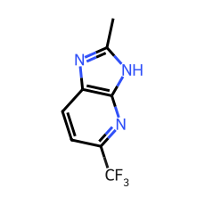 Cc1nc2ccc(C(F)(F)F)nc2[nH]1